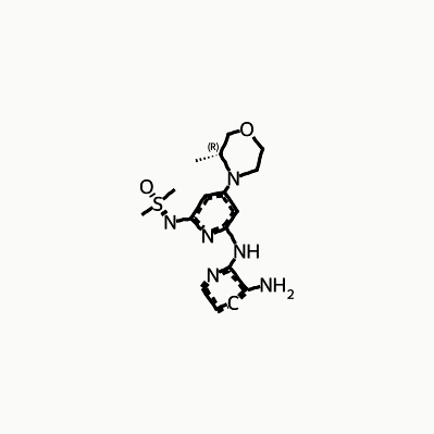 C[C@@H]1COCCN1c1cc(N=S(C)(C)=O)nc(Nc2ncccc2N)c1